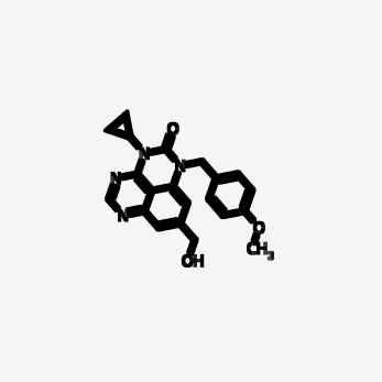 COc1ccc(CN2C(=O)N(C3CC3)c3ncnc4cc(CO)cc2c34)cc1